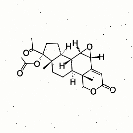 CC(=O)O[C@]1(C(C)=O)CC[C@H]2[C@@H]3[C@@H]4O[C@@H]4C4=CC(=O)OC[C@]4(C)[C@H]3CC[C@@]21C